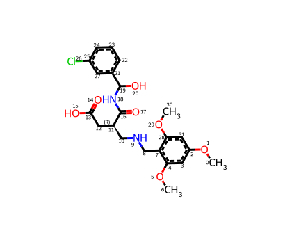 COc1cc(OC)c(CNC[C@@H](CC(=O)O)C(=O)NC(O)c2cccc(Cl)c2)c(OC)c1